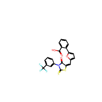 O=C(O)c1ccccc1-c1ccc(C=C2SC(=S)N(c3cccc(C(F)(F)F)c3)C2=O)o1